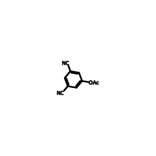 CC(=O)Oc1cc(C#N)cc(C#N)c1